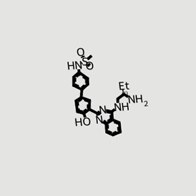 CC[C@H](N)CNc1nc(-c2cc(-c3ccc(NS(C)(=O)=O)cc3)ccc2O)nc2ccccc12